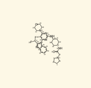 O=C(CN1CCCC1)N[C@H]1CC[C@H](Nc2nc(N3CCOCC3)cc(-n3c(C(F)F)nc4ccccc43)n2)CC1